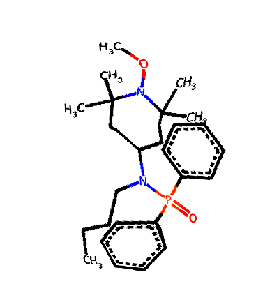 CCCCN(C1CC(C)(C)N(OC)C(C)(C)C1)P(=O)(c1ccccc1)c1ccccc1